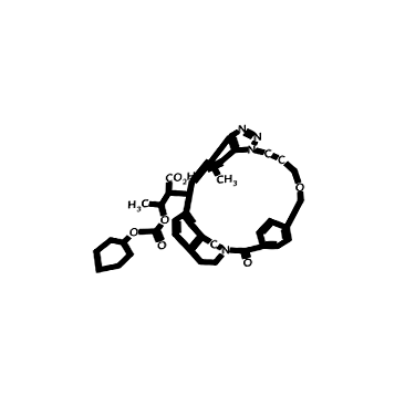 Cc1c2ccc3c1nnn3CCCOCc1ccc(cc1)C(=O)N1CCc3ccc(cc3C1)C2C(C(=O)O)C(C)OC(=O)OC1CCCCC1